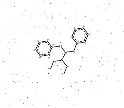 CCN(CC)C(Cc1ccccc1)Oc1ccccn1